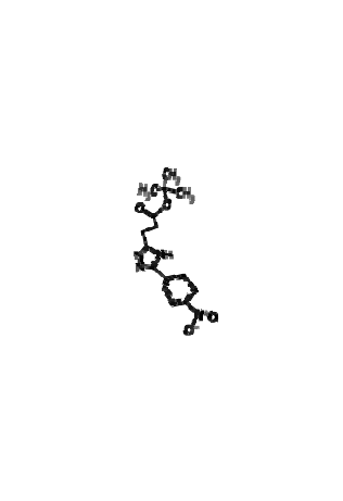 CC(C)(C)OC(=O)CCc1nnc(-c2ccc([N+](=O)[O-])cc2)[nH]1